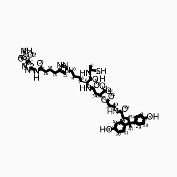 CC(S)NC(=O)[C@H](CCCCn1cc(CCCC(=O)Nc2nnc(S(N)(=O)=O)s2)nn1)NC(=O)CC(CC(=O)CCNC(=O)CCC(C)(c1ccc(O)cc1)c1ccc(O)cc1)C(=O)O